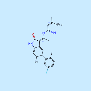 CCC1C=C2NC(=O)/C(=C(/C)NC(=N)/C=C(/C)NC)C2=CC1c1cc(F)ccc1C